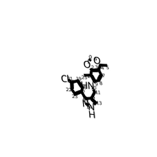 COc1c(C(C)=O)ccc(NCc2c[nH]nc2-c2ccc(Cl)cc2)c1C